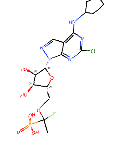 CC(F)(OC[C@H]1O[C@@H](n2ncc3c(NC4CCCC4)nc(Cl)nc32)[C@H](O)[C@@H]1O)P(=O)(O)O